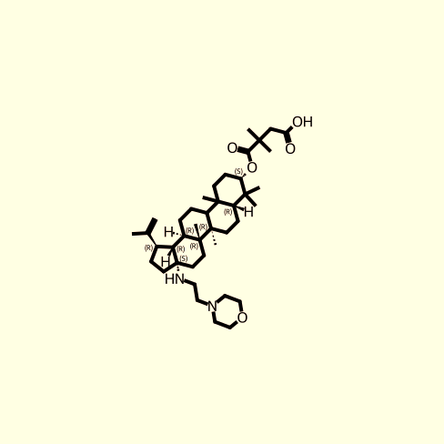 C=C(C)[C@@H]1CC[C@]2(NCCN3CCOCC3)CC[C@]3(C)[C@H](CCC4C5(C)CC[C@H](OC(=O)C(C)(C)CC(=O)O)C(C)(C)[C@@H]5CC[C@]43C)[C@@H]12